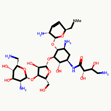 CNC[C@@H]1C=C[C@@H](N)[C@@H](O[C@H]2[C@H](O[C@@H]3O[C@H](CO)[C@@H](O[C@H]4O[C@@H](CN)[C@@H](O)[C@H](O)[C@H]4N)[C@H]3O)[C@@H](O)[C@H](NC(=O)[C@@H](O)[C@@H](O)CN)C[C@@H]2N)O1